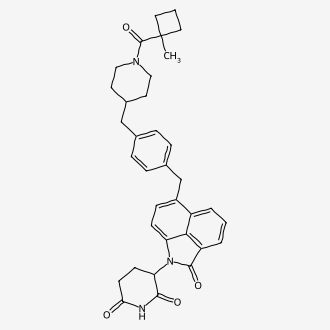 CC1(C(=O)N2CCC(Cc3ccc(Cc4ccc5c6c(cccc46)C(=O)N5C4CCC(=O)NC4=O)cc3)CC2)CCC1